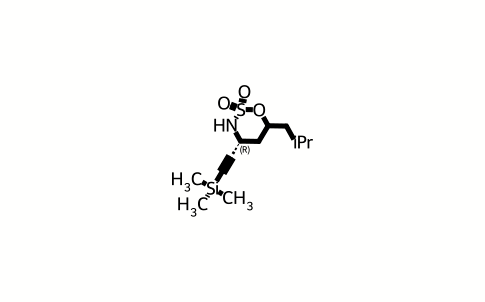 CC(C)CC1C[C@H](C#C[Si](C)(C)C)NS(=O)(=O)O1